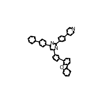 c1ccc(-c2ccc(-c3cc(-c4cccc(-c5cccc6c5oc5ccccc56)c4)nc(-c4ccc(-c5ccncc5)cc4)n3)cc2)cc1